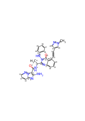 CC(NC(=O)c1c(N)nc2cccnn12)c1nc2cccc(C#Cc3cnn(C)c3)c2c(=O)n1Nc1ccccc1